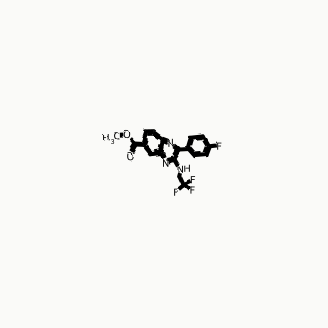 COC(=O)c1ccc2nc(-c3ccc(F)cc3)c(NCC(F)(F)F)nc2c1